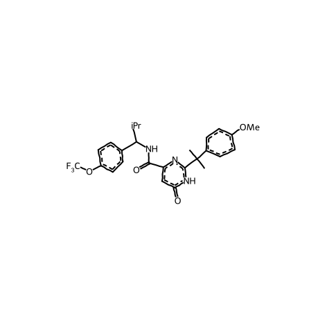 COc1ccc(C(C)(C)c2nc(C(=O)NC(c3ccc(OC(F)(F)F)cc3)C(C)C)cc(=O)[nH]2)cc1